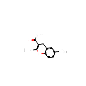 CCCC(=O)C1=C(C)Oc2ccc(C(C)(C)C)cc2C1